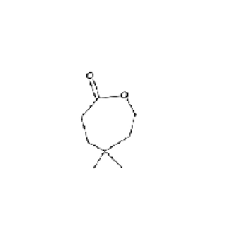 CC1(C)CCOC(=O)CC1